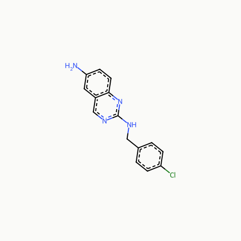 Nc1ccc2nc(NCc3ccc(Cl)cc3)ncc2c1